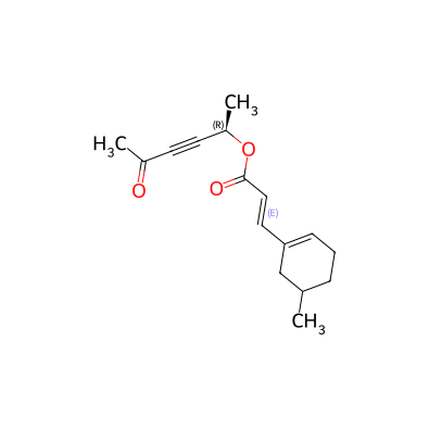 CC(=O)C#C[C@@H](C)OC(=O)/C=C/C1=CCCC(C)C1